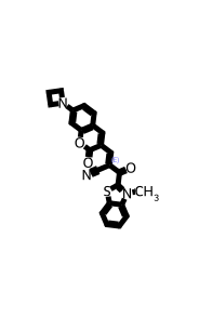 C[n+]1c(C(=O)/C(C#N)=C/c2cc3ccc(N4CCC4)cc3oc2=O)sc2ccccc21